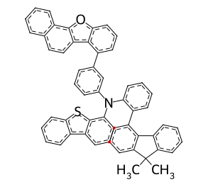 CC1(C)c2ccccc2-c2c(-c3ccccc3N(c3cccc(-c4cccc5oc6c7ccccc7ccc6c45)c3)c3cccc4c3sc3ccccc34)cccc21